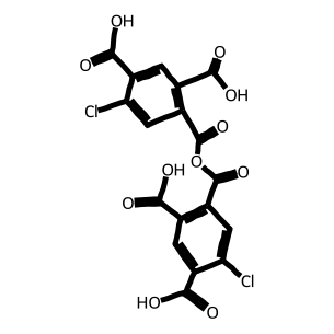 O=C(O)c1cc(C(=O)O)c(C(=O)OC(=O)c2cc(Cl)c(C(=O)O)cc2C(=O)O)cc1Cl